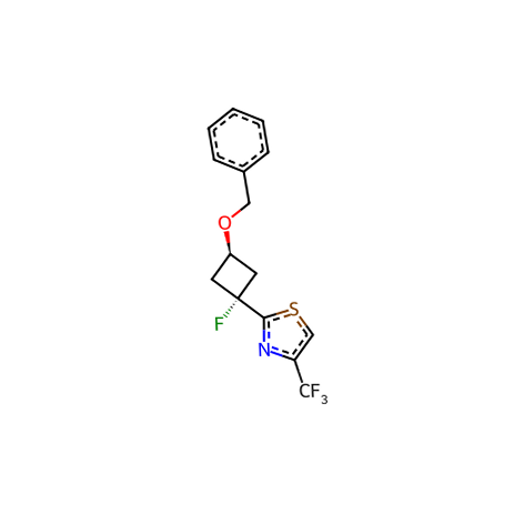 FC(F)(F)c1csc([C@]2(F)C[C@H](OCc3ccccc3)C2)n1